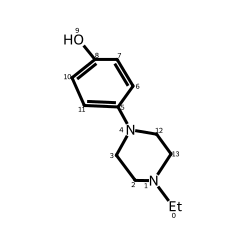 CCN1CCN(c2ccc(O)cc2)CC1